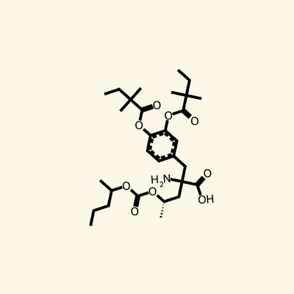 CCCC(C)OC(=O)O[C@@H](C)CC(N)(Cc1ccc(OC(=O)C(C)(C)CC)c(OC(=O)C(C)(C)CC)c1)C(=O)O